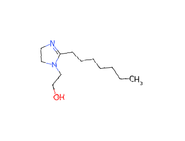 CCCCCCCC1=NCCN1CCO